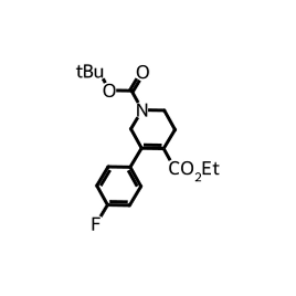 CCOC(=O)C1=C(c2ccc(F)cc2)CN(C(=O)OC(C)(C)C)CC1